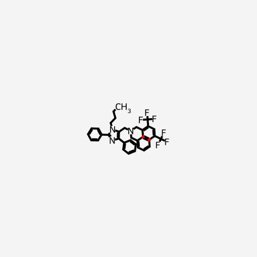 CCCCn1c(-c2ccccc2)nc(-c2ccccc2)c1CN(Cc1ccccc1)Cc1ccc(C(F)(F)F)cc1C(F)(F)F